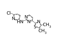 Cc1nc(-c2ccnc(Nc3ccc(Cl)nc3)n2)sc1C